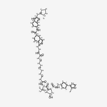 Cc1ncsc1-c1ccc(CNC(=O)[C@@H]2C[C@@H](O)CN2C(=O)[C@@H](NC(=O)COCCOCCOCC(=O)NCCn2ncc3cc(C(=O)Nc4ccc5[nH]c(CN6CCC[C@@H]6C)nc5c4)ccc32)C(C)(C)C)cc1